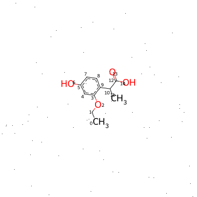 CCOc1cc(O)ccc1C(C)C(=O)O